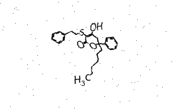 CCCCCCC1(c2ccccc2)CC(O)=C(SCCc2ccccc2)C(=O)O1